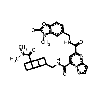 CN(C)C(=O)C12C3C4C1C1C2C3C41CNC(=O)c1cc(C(=O)NCc2ccc3oc(=O)n(C)c3c2)nc2ccnn12